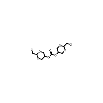 O=C(OC1COC(CCl)OC1)OC1COC(CCl)OC1